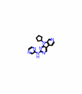 c1cnc(Nc2ncc3c4ccncc4n(C4CCCC4)c3n2)cn1